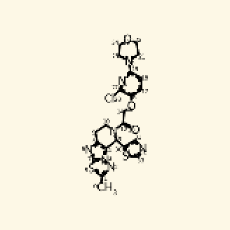 Cc1nn2c3c(nc2s1)CCN(C(=O)COc1ccc(N2CCOCC2)nc1Cl)C3c1cncs1